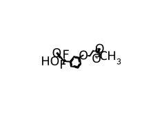 CS(=O)(=O)CCOc1cccc(C(F)(F)C(=O)O)c1